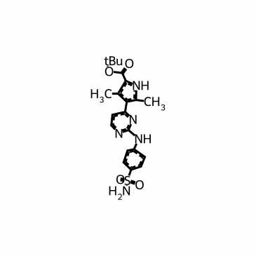 Cc1[nH]c(C(=O)OC(C)(C)C)c(C)c1-c1ccnc(Nc2ccc(S(N)(=O)=O)cc2)n1